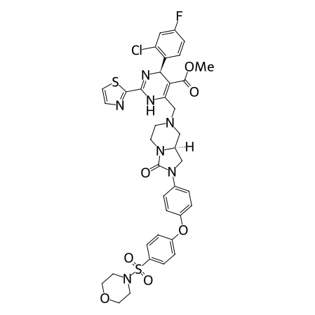 COC(=O)C1=C(CN2CCN3C(=O)N(c4ccc(Oc5ccc(S(=O)(=O)N6CCOCC6)cc5)cc4)C[C@@H]3C2)NC(c2nccs2)=N[C@H]1c1ccc(F)cc1Cl